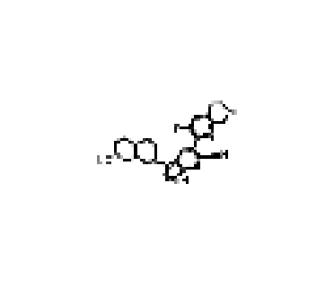 CN1CCC2CCC(c3n[nH]c4cc(C#N)c(-c5c(F)cc6c(c5F)CNCC6)cc34)CC2C1